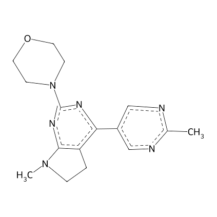 Cc1ncc(-c2nc(N3CCOCC3)nc3c2CCN3C)cn1